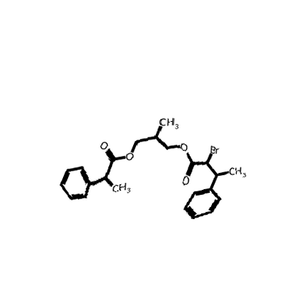 CC(COC(=O)C(C)c1ccccc1)COC(=O)C(Br)C(C)c1ccccc1